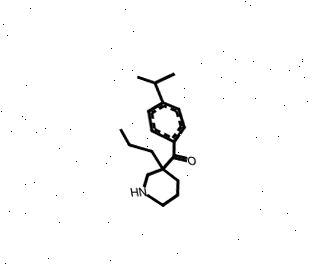 CCCC1(C(=O)c2ccc(C(C)C)cc2)CCCNC1